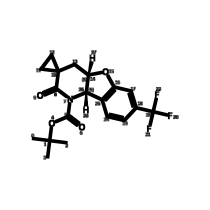 CC(C)(C)OC(=O)N1C(=O)C2(CC2)C[C@@H]2Oc3cc(C(F)(F)F)ccc3[C@@H]21